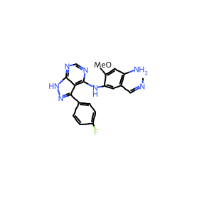 C/N=C\c1cc(Nc2ncnc3[nH]nc(-c4ccc(F)cc4)c23)c(OC)cc1N